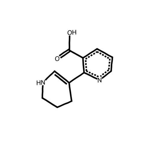 O=C(O)c1cccnc1C1=CNCCC1